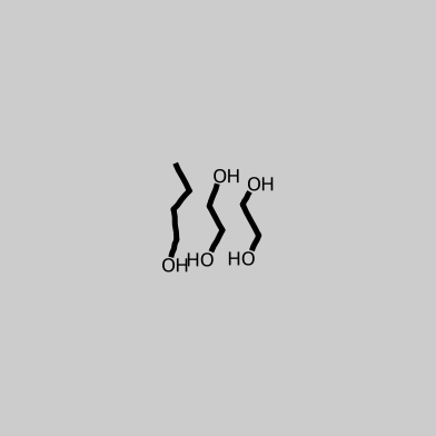 CCCCO.OCCO.OCCO